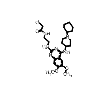 COc1cc2nc(NCCNC(=O)CCl)nc(NC3CCN(C4CCCCC4)CC3)c2cc1OC